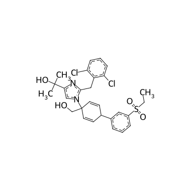 CCS(=O)(=O)c1cccc(C2C=CC(CO)(n3cc(C(C)(C)O)nc3Cc3c(Cl)cccc3Cl)C=C2)c1